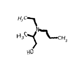 CCCN(CC)C(C)CO